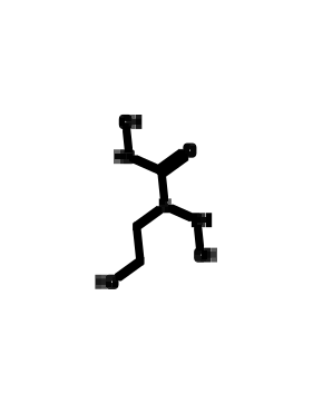 O=C(BO)N(BO)CCO